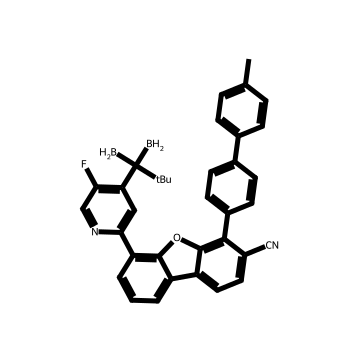 BC(B)(c1cc(-c2cccc3c2oc2c(-c4ccc(-c5ccc(C)cc5)cc4)c(C#N)ccc23)ncc1F)C(C)(C)C